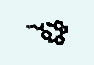 CCOC(=O)N1CCC(Nc2cccc(-c3cnn4ccc(C#N)cc34)n2)CC1